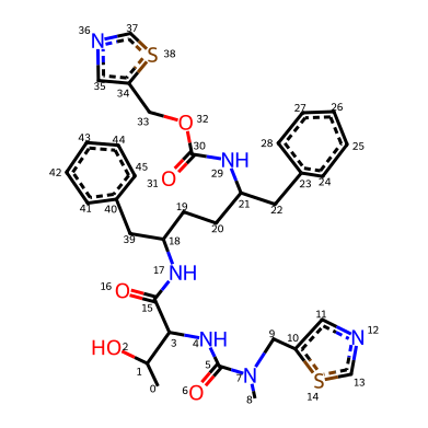 CC(O)C(NC(=O)N(C)Cc1cncs1)C(=O)NC(CCC(Cc1ccccc1)NC(=O)OCc1cncs1)Cc1ccccc1